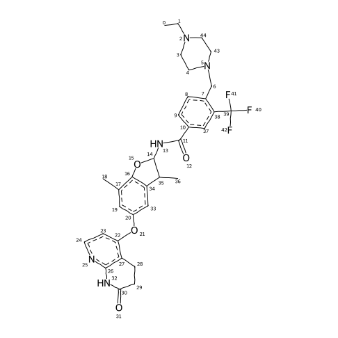 CCN1CCN(Cc2ccc(C(=O)NC3Oc4c(C)cc(Oc5ccnc6c5CCC(=O)N6)cc4C3C)cc2C(F)(F)F)CC1